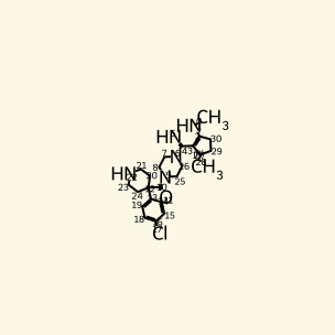 CNC1=C(C(=N)N2CCN(C(=O)C3(c4ccc(Cl)cc4)CCNCC3)CC2)[C@H](C)CC1